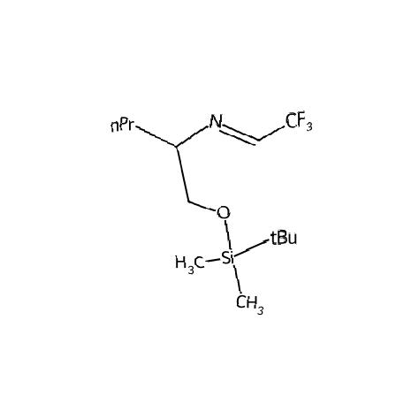 CCCC(CO[Si](C)(C)C(C)(C)C)N=CC(F)(F)F